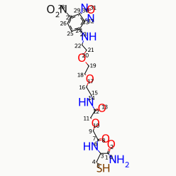 NC(=O)C(CS)NC(=O)COCC(=O)NCCOCCOCCNc1ccc([N+](=O)[O-])c2nonc12